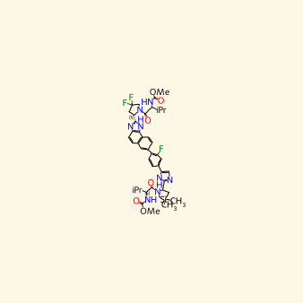 COC(=O)NC(C(=O)N1CC(F)(F)C[C@H]1c1nc2ccc3cc(-c4ccc(-c5cnc(C6C[Si](C)(C)CN6C(=O)[C@@H](NC(=O)OC)C(C)C)[nH]5)cc4F)ccc3c2[nH]1)C(C)C